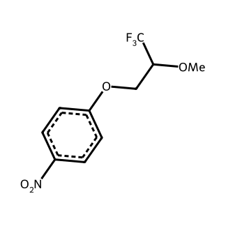 COC(COc1ccc([N+](=O)[O-])cc1)C(F)(F)F